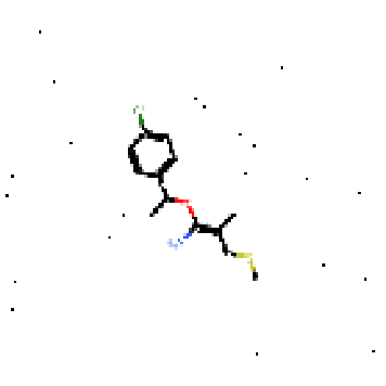 CSC/C(C)=C(\N)OC(C)c1ccc(Cl)cc1